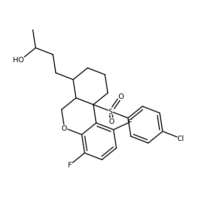 CC(O)CCC1CCCC2(S(=O)(=O)c3ccc(Cl)cc3)c3c(F)ccc(F)c3OCC12